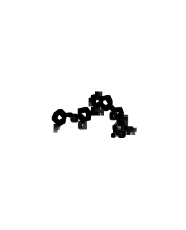 CCCN[C@H](C[S+](C)[O-])c1ccc(-c2ccc3ncnc(Nc4ccc(OCc5cccc(F)c5)c(Cl)c4)c3c2)o1